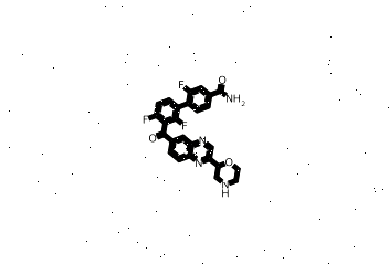 NC(=O)c1ccc(-c2ccc(F)c(C(=O)c3ccc4nc(C5CNCCO5)cnc4c3)c2F)c(F)c1